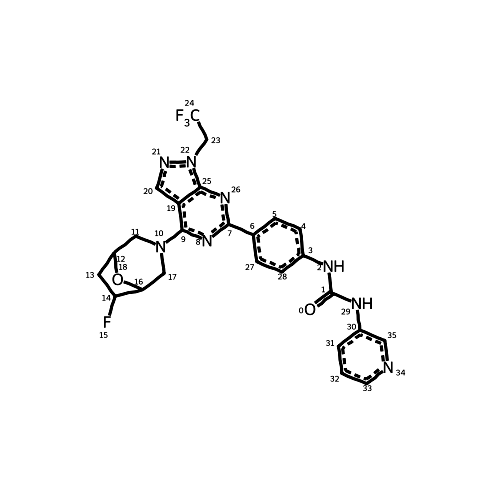 O=C(Nc1ccc(-c2nc(N3CC4CC(F)C(C3)O4)c3cnn(CC(F)(F)F)c3n2)cc1)Nc1cccnc1